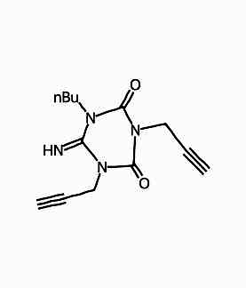 C#CCn1c(=N)n(CCCC)c(=O)n(CC#C)c1=O